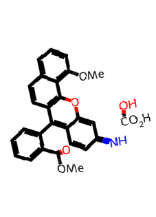 COC(=O)c1ccccc1-c1c2ccc(=N)cc-2oc2c1ccc1cccc(OC)c12.O=C(O)O